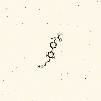 O=C(O)Nc1ccc(-c2cnc(CCCO)nc2)cc1